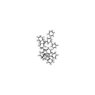 c1ccc(-c2cc(-c3ccccc3)cc(-n3c4ccccc4c4ccc(-n5c6ccccc6c6c([Si](c7ccccc7)(c7ccccc7)c7ccccc7)cccc65)cc43)c2)cc1